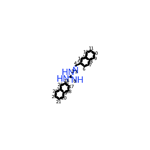 N=C(N/N=C/c1ccc2ccccc2c1)Nc1ccc2ccccc2c1